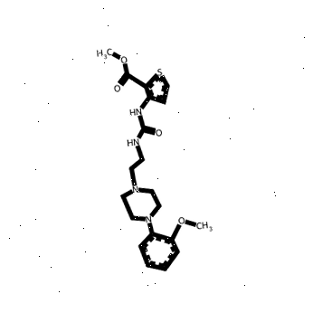 COC(=O)c1sccc1NC(=O)NCCN1CCN(c2ccccc2OC)CC1